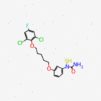 NC(=O)N(S)c1cccc(OCCCCCOc2c(Cl)cc(F)cc2Cl)c1